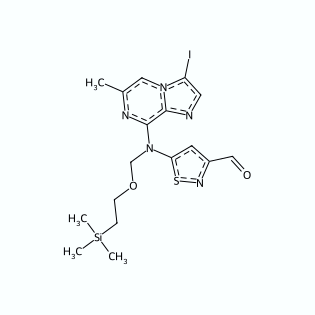 Cc1cn2c(I)cnc2c(N(COCC[Si](C)(C)C)c2cc(C=O)ns2)n1